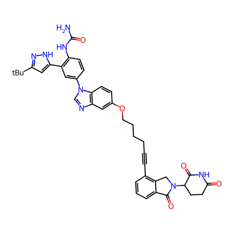 CC(C)(C)c1cc(-c2cc(-n3cnc4cc(OCCCCC#Cc5cccc6c5CN(C5CCC(=O)NC5=O)C6=O)ccc43)ccc2NC(N)=O)[nH]n1